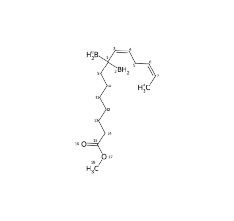 BC(B)(/C=C\C/C=C\C)CCCCCCC(=O)OC